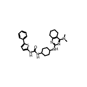 CN(C)c1nc(NC2CCC(NC(=O)Nc3ccc(-c4ccccc4)s3)CC2)nc2c1CCCC2